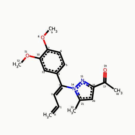 C=C/C=C(/c1ccc(OC)c(OC)c1)n1nc(C(C)=O)cc1C